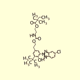 CCC(C)(C)C(=O)OCCNC(=O)OCCc1cc(-n2nc3ccc(Cl)cc3n2)c(O)c(C(C)(C)C)c1